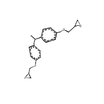 CC(c1ccc(OCC2CO2)cc1)c1ccc(OCC2CO2)cc1